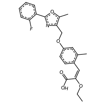 CCO/C(=C/c1ccc(OCc2nc(-c3ccccc3F)oc2C)cc1C)C(=O)O